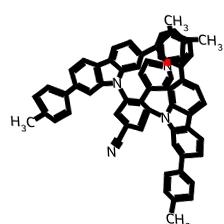 Cc1ccc(-c2ccc3c4ccc(-c5ccc(C)cc5)cc4n(-c4cc(C#N)cc(-n5c6cc(-c7ccc(C)cc7)ccc6c6ccc(-c7ccc(C)cc7)cc65)c4-c4ccncc4)c3c2)cc1